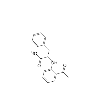 CC(=O)c1ccccc1NC(Cc1ccccc1)C(=O)O